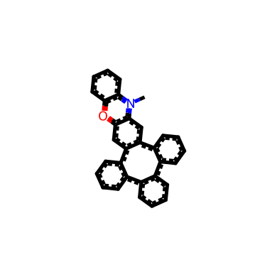 Cn1c2ccccc2oc2cc3c4ccccc4c4ccccc4c4ccccc4c3cc21